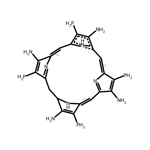 NC1=C(P)/C2=C/c3[nH]c(c(P)c3N)/C=C3\N=C(CC4N/C(=C\C1=N2)C(P)=C4N)C(P)=C3N